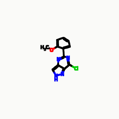 COc1ccccc1-c1nc(Cl)c2n[nH]cc2n1